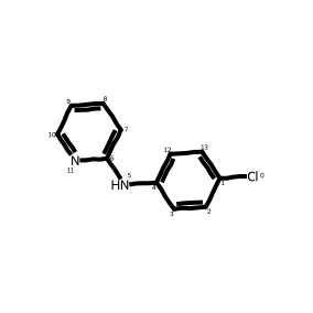 Clc1ccc(Nc2ccccn2)cc1